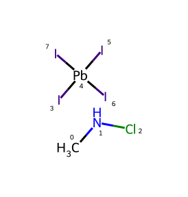 CNCl.[I][Pb]([I])([I])[I]